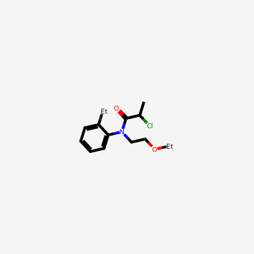 CCOCCN(C(=O)C(C)Cl)c1ccccc1CC